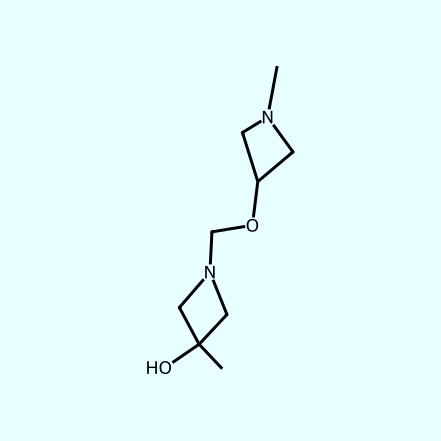 CN1CC(OCN2CC(C)(O)C2)C1